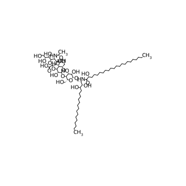 CCCCCCCCCCCCCCCCCCCC[C@@H](O)C(=O)N[C@@H](CO[C@@H]1O[C@H](CO)[C@@H](O[C@@H]2O[C@H](CO)[C@H](O)[C@H](O[C@]3(C(=O)O)C[C@H](O)[C@@H](NC(C)=O)[C@H]([C@H](O)[C@H](O)CO)O3)[C@H]2O)[C@H](O)[C@H]1O)[C@H](O)[C@H](O)CCCCCCCCCCCCCCC